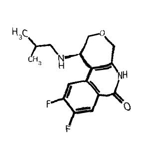 CC(C)CN[C@H]1COCc2[nH]c(=O)c3cc(F)c(F)cc3c21